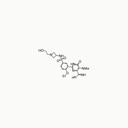 CCCC(=N)c1nc(-c2cc(S(=O)(=O)NC3CN(CCO)C3)ccc2OCC)[nH]c(=O)c1NC